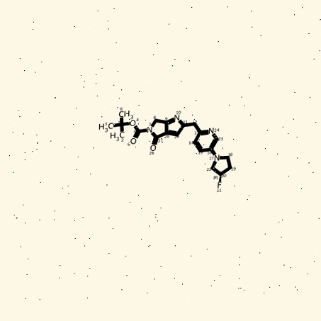 CC(C)(C)OC(=O)N1CC2=NC(Cc3ccc(N4CC[C@@H](F)C4)cn3)C=C2C1=O